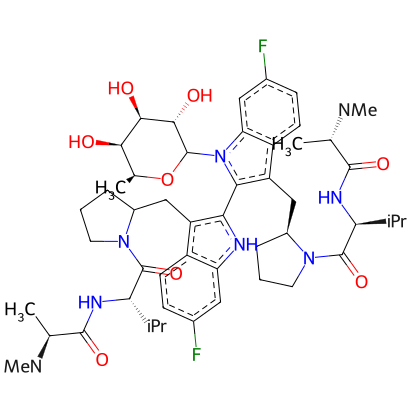 CN[C@@H](C)C(=O)N[C@H](C(=O)N1CCCC1Cc1c(-c2c(C[C@@H]3CCCN3C(=O)[C@@H](NC(=O)[C@H](C)NC)C(C)C)c3ccc(F)cc3n2C2O[C@@H](C)[C@@H](O)[C@@H](O)[C@@H]2O)[nH]c2cc(F)ccc12)C(C)C